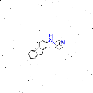 c1ccc2c(c1)Cc1cc(NC3CN4CCC3CC4)ccc1-2